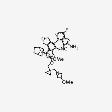 COCCN1CC2CCC(C1)N2c1nc(OCC2(CN3CC(OC)C3)CC2)nc2c(F)c(-c3ncc(F)c4sc(N)c(C#N)c34)c3c(c12)COC3